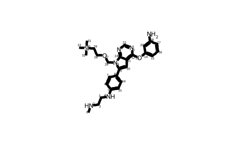 CNCCNc1ccc(-c2cc3c(Oc4cccc(N)c4)ncnc3n2COCC[Si](C)(C)C)cc1